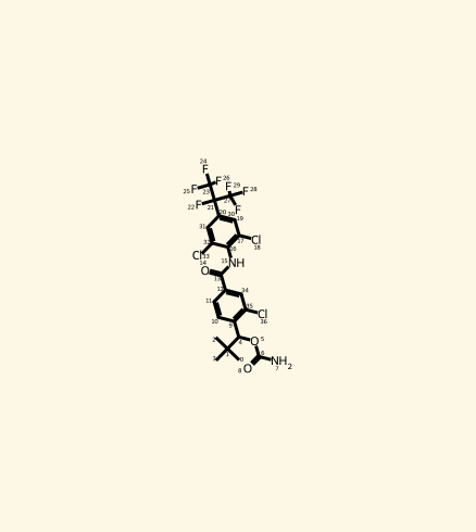 CC(C)(C)C(OC(N)=O)c1ccc(C(=O)Nc2c(Cl)cc(C(F)(C(F)(F)F)C(F)(F)F)cc2Cl)cc1Cl